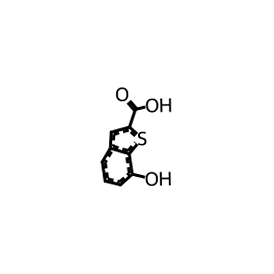 O=C(O)c1cc2cccc(O)c2s1